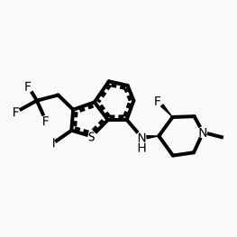 CN1CC[C@@H](Nc2cccc3c(CC(F)(F)F)c(I)sc23)[C@@H](F)C1